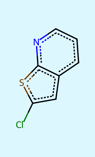 Clc1cc2cccnc2s1